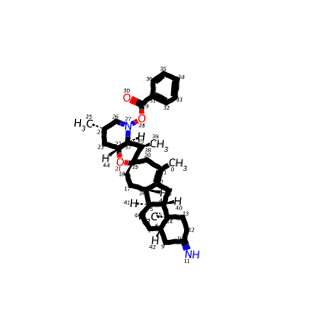 CC1=C2C[C@H]3[C@@H](CC[C@@H]4CC(=N)CC[C@@]43C)[C@@H]2CC[C@@]2(C1)O[C@@H]1C[C@H](C)CN(OC(=O)c3ccccc3)[C@H]1[C@H]2C